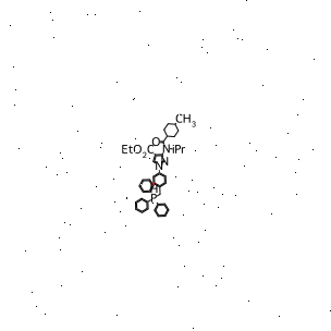 CCOC(=O)c1cn(-c2ccc(C[PH](c3ccccc3)(c3ccccc3)c3ccccc3)cc2)nc1N(C(=O)C1CCC(C)CC1)C(C)C